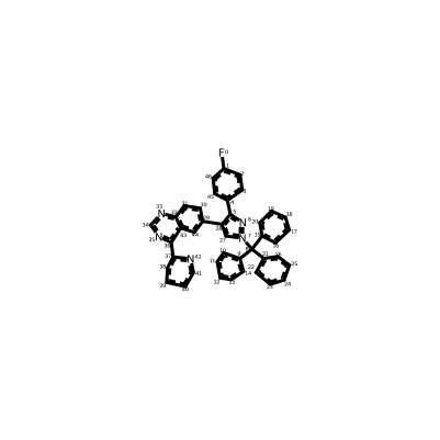 Fc1ccc(-c2nn(C(c3ccccc3)(c3ccccc3)c3ccccc3)cc2-c2ccc3ncnc(-c4ccccn4)c3c2)cc1